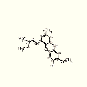 CCN(C)C=Nc1cc(C)cc(Nc2ccc(F)c(OC)c2)c1Cl